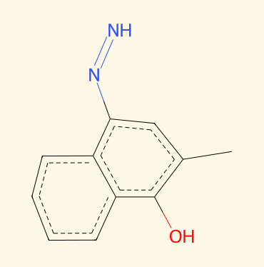 Cc1cc(N=N)c2ccccc2c1O